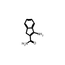 NC(=O)C1=C(N)c2ccccc2C1